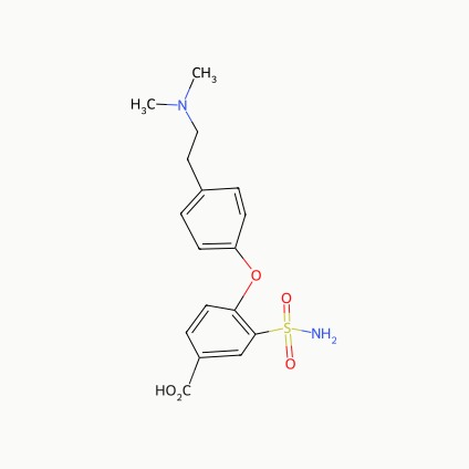 CN(C)CCc1ccc(Oc2ccc(C(=O)O)cc2S(N)(=O)=O)cc1